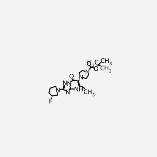 CCc1[nH]c2nc(N3CCC[C@@H](F)C3)nn2c(=O)c1N1CCN(C(=O)OC(C)(C)C)CC1